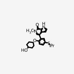 CC(C)Sc1ccc(OC2CCC(O)CC2)c(-c2cn(C)c(=O)c3[nH]ccc23)c1